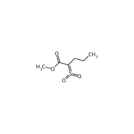 CCCC(C(=O)OC)=S(=O)=O